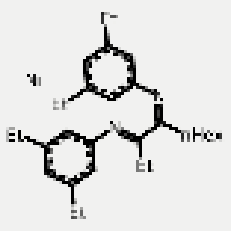 CCCCCCC(=Nc1cc(CC)cc(CC)c1)C(CC)=Nc1cc(CC)cc(CC)c1.[Ni]